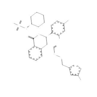 CS(=O)(=O)N[C@H]1CCCC[C@@H]1N1C(=O)c2ccccc2[C@@H](C(=O)NOCc2cc(C(=O)O)co2)[C@@H]1c1ccc(Cl)cc1Cl